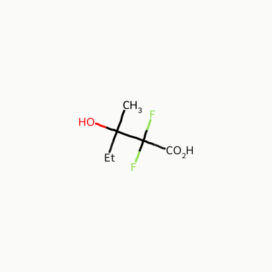 CCC(C)(O)C(F)(F)C(=O)O